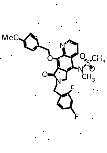 COc1ccc(COc2c3c(c(N(C)S(C)(=O)=O)c4cccnc24)CN(Cc2ccc(F)cc2F)C3=O)cc1